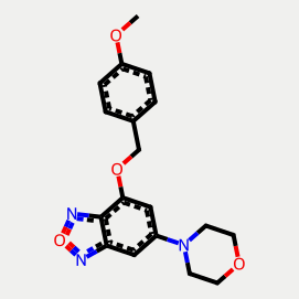 COc1ccc(COc2cc(N3CCOCC3)cc3nonc23)cc1